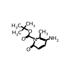 Cc1c(N)ccc(=O)n1C(=O)OC(C)(C)C